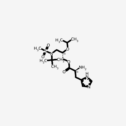 CC(C)O[C@H](COC(=O)[C@@H](N)Cc1cnc[nH]1)CN(C(C)(C)C)S(C)(=O)=O